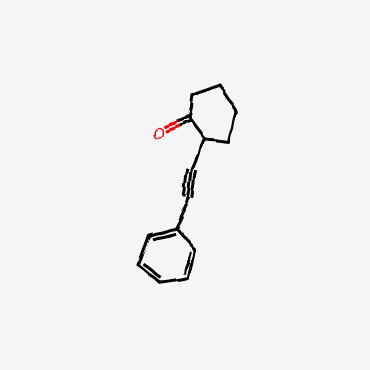 O=C1CCCCC1C#Cc1ccccc1